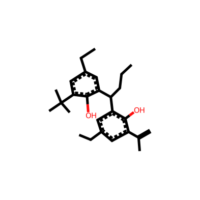 C=C(C)c1cc(CC)cc(C(CCC)c2cc(CC)cc(C(C)(C)C)c2O)c1O